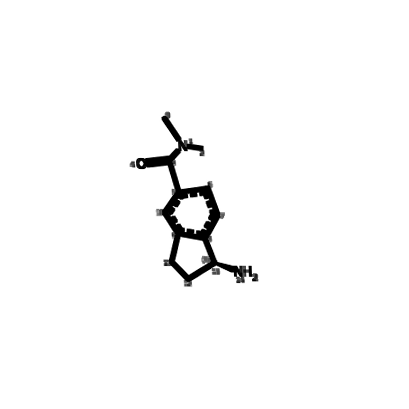 CN(C)C(=O)c1ccc2c(c1)CC[C@@H]2N